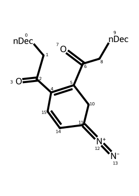 CCCCCCCCCCCC(=O)C1=C(C(=O)CCCCCCCCCCC)CC(=[N+]=[N-])C=C1